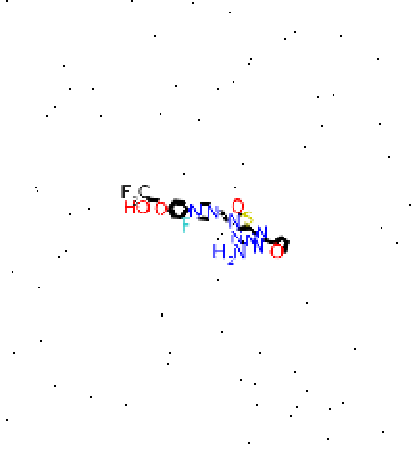 Nc1nc2c(sc(=O)n2CCN2CCN(c3ccc(OC[C@H](O)C(F)(F)F)cc3F)CC2)c2nc(-c3ccco3)nn12